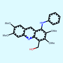 COc1cc2cc3c(Nc4ccccc4)c(OC)c(OC)c(CO)c3nc2cc1OC